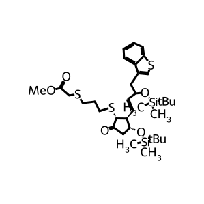 COC(=O)CSCCCS[C@H]1C(=O)C[C@@H](O[Si](C)(C)C(C)(C)C)[C@@H]1C=CC(Cc1csc2ccccc12)O[Si](C)(C)C(C)(C)C